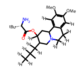 [2H]c1c(OC)c(OC)c([2H])c2c1C1CC([2H])(OC(=O)[C@@H](N)C(C)(C)C)C(C([2H])([2H])C([2H])(C)C([2H])([2H])[2H])CN1C([2H])([2H])C2([2H])[2H]